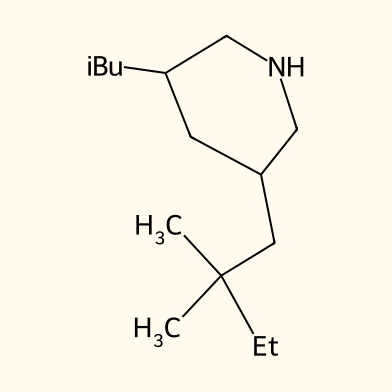 CCC(C)C1CNCC(CC(C)(C)CC)C1